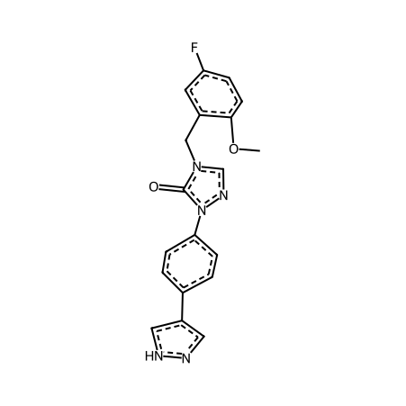 COc1ccc(F)cc1Cn1cnn(-c2ccc(-c3cn[nH]c3)cc2)c1=O